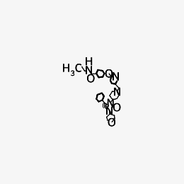 CCCNC(=O)c1ccc(Oc2ccc(CN3CCC(N4C(=O)N(C5CCOCC5)C[C@H]4c4ccccc4)CC3)cn2)cc1